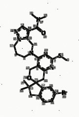 CSc1nc2c(c(N3CCCn4ncc(C(=O)N(C)C)c4C3)n1)COC1(C2)c2cc(Br)ccc2CC1(C)C